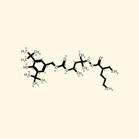 CCCCC(CC)C(=O)OOC(C)(C)CC(C)OC(=O)OCc1cc(C(C)(C)C)c(O)c(C(C)(C)C)c1